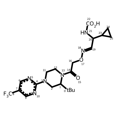 CC(C)(C)C1CN(c2ncc(C(F)(F)F)cn2)CCN1C(=O)CO/N=C/C(NC(=O)O)C1CC1